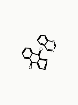 O=C1c2ccccc2C(=O)c2ccccc21.c1ccc2ncncc2c1